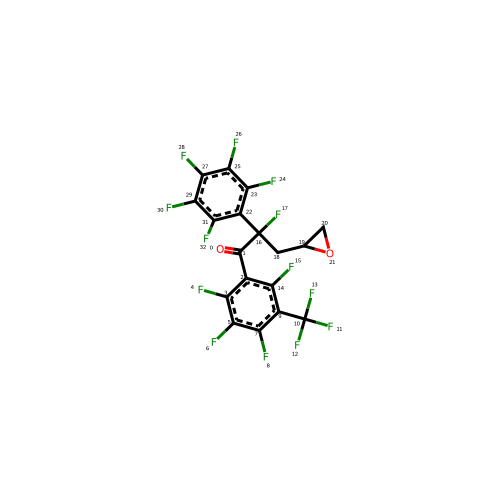 O=C(c1c(F)c(F)c(F)c(C(F)(F)F)c1F)C(F)(CC1CO1)c1c(F)c(F)c(F)c(F)c1F